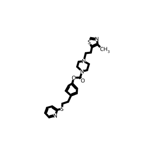 Cc1ncsc1CCN1CCN(C(=O)Oc2ccc(CCSc3ccccn3)cc2)CC1